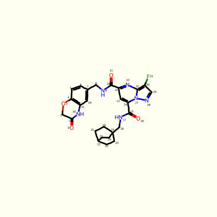 O=C1COc2ccc(CNC(=O)c3cc(C(=O)NCC45CCC(CC4)CC5)n4ncc(F)c4n3)cc2N1